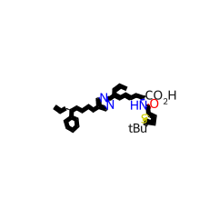 C=CC[C@H](CCCCc1cnc(C(/C=C\C)=C/C=C/C[C@H](NC(=O)c2ccc(C(C)(C)C)s2)C(=O)O)nc1)C1CCCCC1